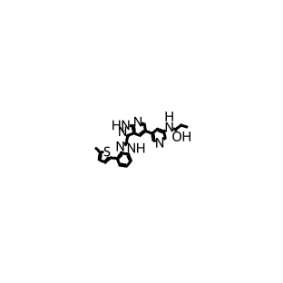 CCC(O)Nc1cncc(-c2cnc3[nH]nc(-c4nc5c(-c6ccc(C)s6)cccc5[nH]4)c3c2)c1